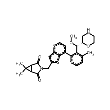 COC(c1c(C)ccnc1-c1ccnc2cc(CN3C(=O)C4C(C3=O)C4(C)C)sc12)[C@@H]1CNCCO1